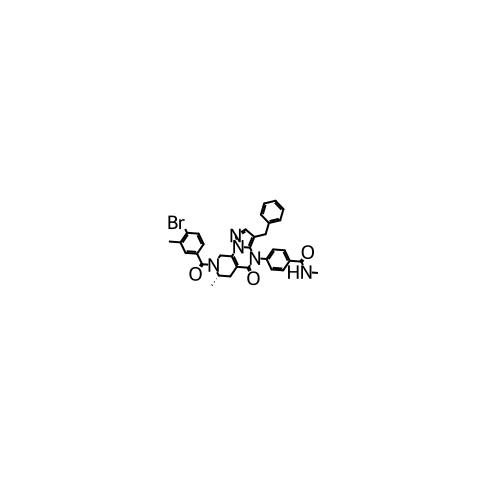 CNC(=O)c1ccc(-n2c(=O)c3c(n4ncc(Cc5ccccc5)c24)CN(C(=O)c2ccc(Br)c(C)c2)[C@@H](C)C3)cc1